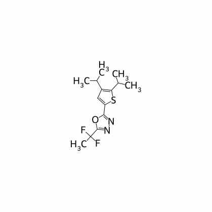 CC(C)c1cc(-c2nnc(C(C)(F)F)o2)sc1C(C)C